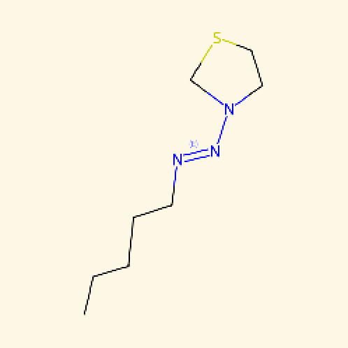 CCCCC/N=N/N1CCSC1